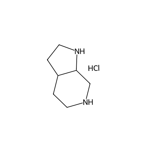 C1CC2CCNC2CN1.Cl